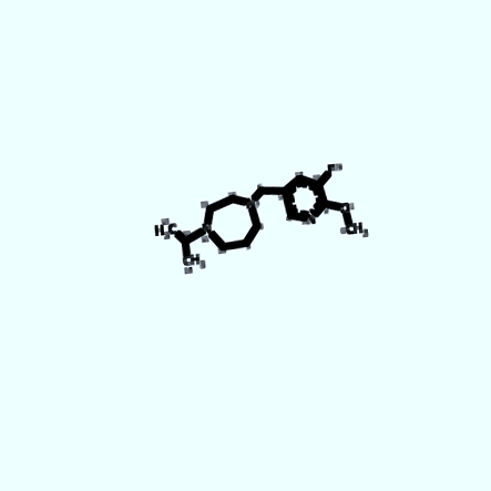 COc1ncc(CN2CCCN(C(C)C)CC2)cc1F